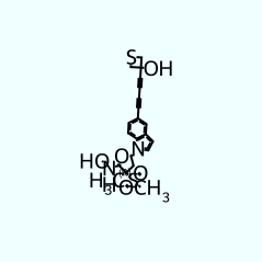 C[C@@](CCn1ccc2cc(C#CC#CC3(O)CSC3)ccc21)(C(=O)NO)S(C)(=O)=O